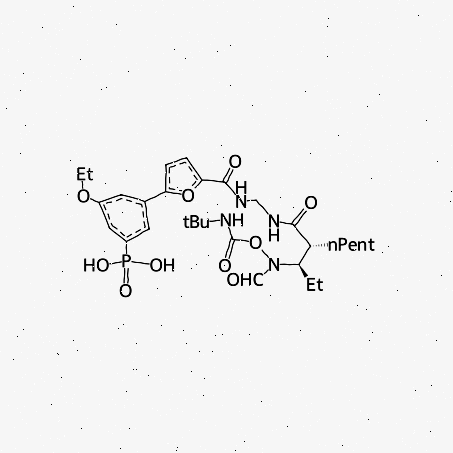 CCCCC[C@@H](C(=O)NCNC(=O)c1ccc(-c2cc(OCC)cc(P(=O)(O)O)c2)o1)[C@@H](CC)N(C=O)OC(=O)NC(C)(C)C